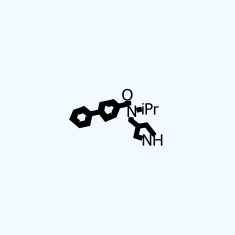 CC(C)N(CC1CCNC1)C(=O)c1ccc(-c2ccccc2)cc1